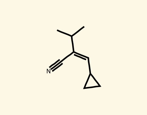 CC(C)/C(C#N)=C/C1CC1